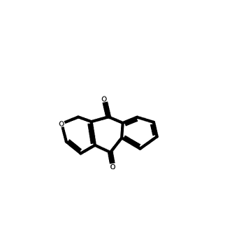 O=C1C2=C(COC=C2)C(=O)c2ccccc21